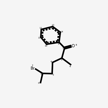 CC(Br)CCC(C)C(=O)c1ccccc1